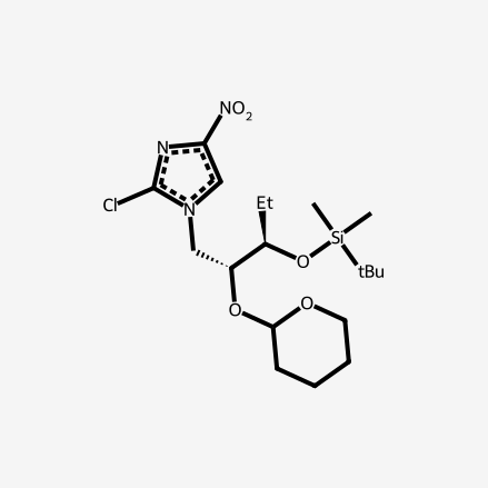 CC[C@@H](O[Si](C)(C)C(C)(C)C)[C@@H](Cn1cc([N+](=O)[O-])nc1Cl)OC1CCCCO1